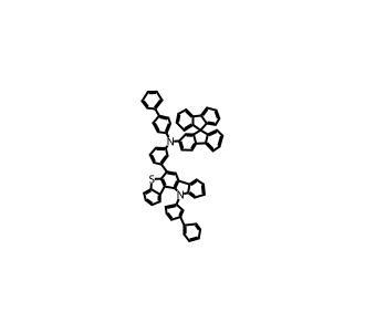 c1ccc(-c2ccc(N(c3cccc(-c4cc5c6ccccc6n(-c6cccc(-c7ccccc7)c6)c5c5c4sc4ccccc45)c3)c3ccc4c(c3)C3(c5ccccc5-c5ccccc53)c3ccccc3-4)cc2)cc1